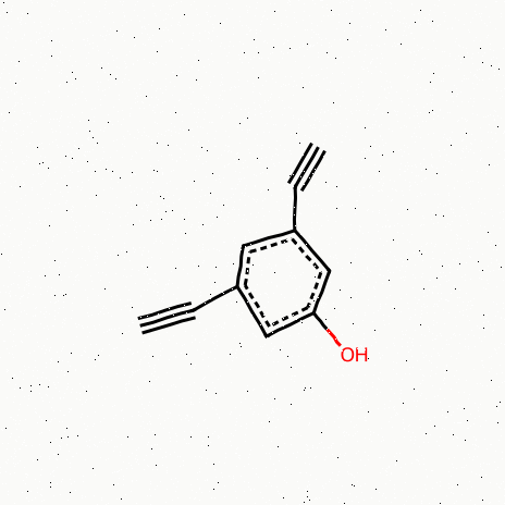 C#Cc1cc(O)cc(C#C)c1